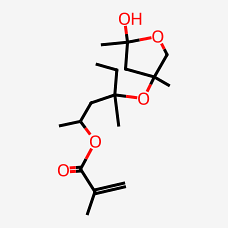 C=C(C)C(=O)OC(C)CC(C)(CC)OC1(C)COC(C)(O)C1